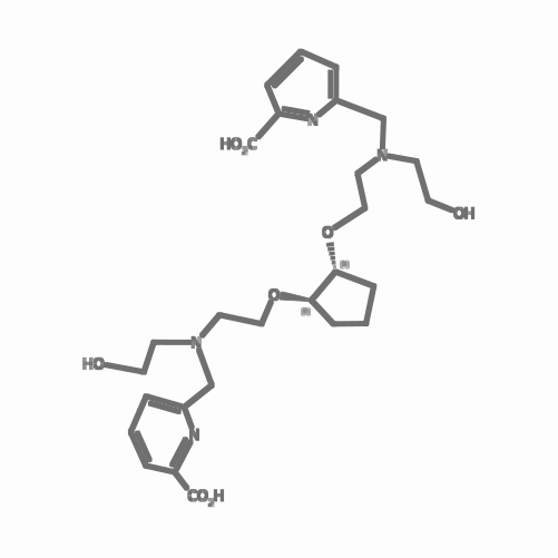 O=C(O)c1cccc(CN(CCO)CCO[C@@H]2CCC[C@H]2OCCN(CCO)Cc2cccc(C(=O)O)n2)n1